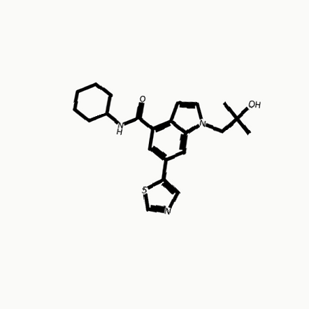 CC(C)(O)Cn1ccc2c(C(=O)NC3CCCCC3)cc(-c3cncs3)cc21